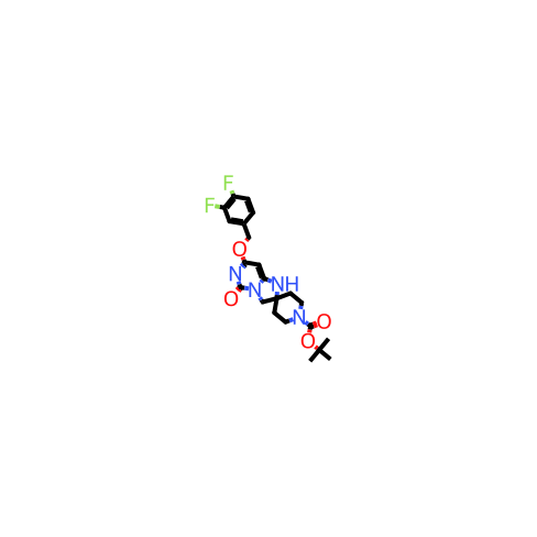 CC(C)(C)OC(=O)N1CCC2(CC1)Cn1c(cc(OCc3ccc(F)c(F)c3)nc1=O)N2